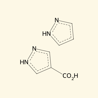 O=C(O)c1cn[nH]c1.c1cn[nH]c1